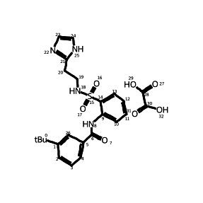 CC(C)(C)c1cccc(C(=O)Nc2ccccc2S(=O)(=O)NCCc2ncc[nH]2)c1.O=C(O)C(=O)O